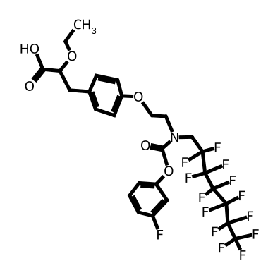 CCOC(Cc1ccc(OCCN(CC(F)(F)C(F)(F)C(F)(F)C(F)(F)C(F)(F)C(F)(F)F)C(=O)Oc2cccc(F)c2)cc1)C(=O)O